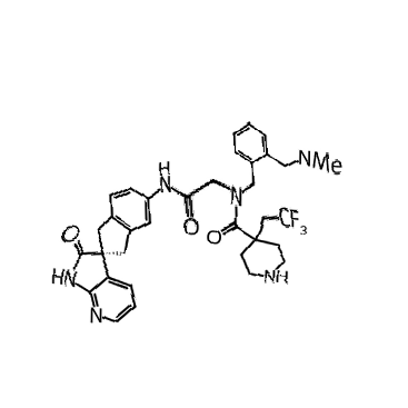 CNCc1ccccc1CN(CC(=O)Nc1ccc2c(c1)C[C@@]1(C2)C(=O)Nc2ncccc21)C(=O)C1(CC(F)(F)F)CCNCC1